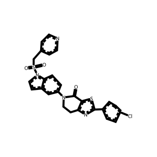 O=C1c2sc(-c3ccc(Cl)cc3)nc2CCN1c1ccc2c(ccn2S(=O)(=O)Cc2ccncc2)c1